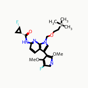 COc1ncc(F)c(OC)c1-c1cn(COCC[Si](C)(C)C)c2nc(NC(=O)[C@@H]3C[C@@H]3F)ccc12